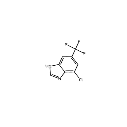 FC(F)(F)c1cc(Cl)c2nc[nH]c2c1